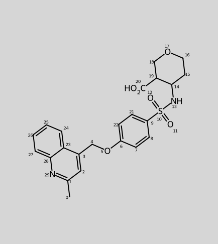 Cc1cc(COc2ccc(S(=O)(=O)NC3CCOCC3C(=O)O)cc2)c2ccccc2n1